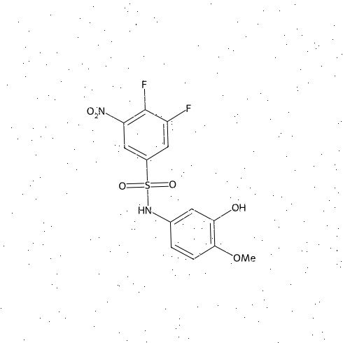 COc1ccc(NS(=O)(=O)c2cc(F)c(F)c([N+](=O)[O-])c2)cc1O